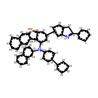 c1ccc(C2=Nc3cc(-c4cc(N(c5ccc(-c6ccccc6)cc5)c5ccc6ccccc6c5)c5c(c4)sc4cc6ccccc6cc45)ccc3C2)cc1